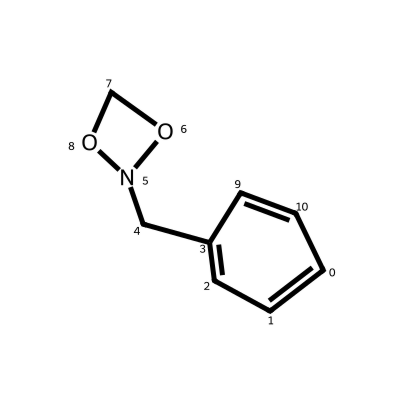 c1ccc(CN2OCO2)cc1